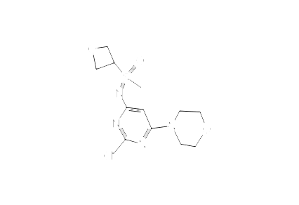 C[C@@H]1COCCN1c1cc(N=S(C)(=O)C2COC2)nc(Cl)n1